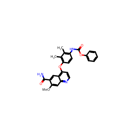 COc1cc2nccc(Oc3ccc(NC(=O)Oc4ccccc4)c(C)c3C)c2cc1C(N)=O